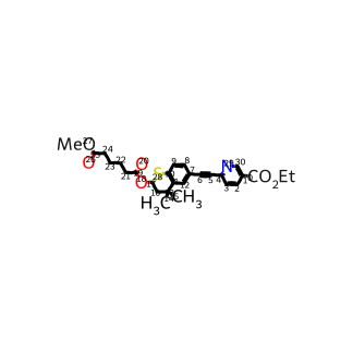 CCOC(=O)c1ccc(C#Cc2ccc3c(c2)C(C)(C)CC(OC(=O)CCCCC(=O)OC)S3)nc1